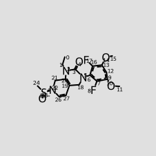 CCN1C(=O)N(c2c(F)c(OC)cc(OC)c2F)CC2=C1CN([S+](C)[O-])C=C2